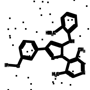 Cc1cncc(C)c1-n1nc(-c2cccc(OC(C)C)c2)cc1Nc1ccccc1C(=O)O